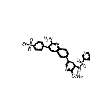 CCS(=O)(=O)c1ccc(-c2cc3cc(-c4cnc(OC)c(NS(=O)(=O)c5cccnc5)c4)ccc3nc2N)cc1